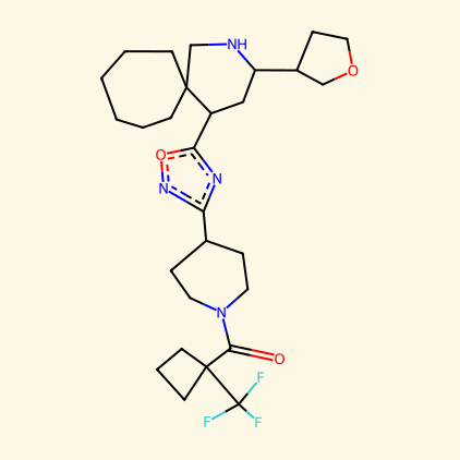 O=C(N1CCC(c2noc(C3CC(C4CCOC4)NCC34CCCCCC4)n2)CC1)C1(C(F)(F)F)CCC1